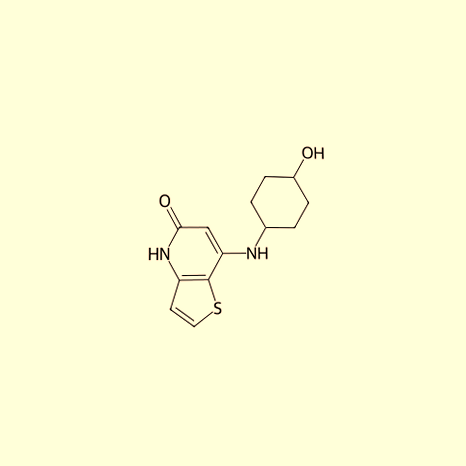 O=c1cc(NC2CCC(O)CC2)c2sccc2[nH]1